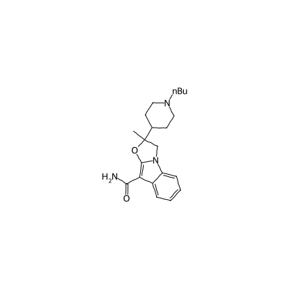 CCCCN1CCC(C2(C)Cn3c(c(C(N)=O)c4ccccc43)O2)CC1